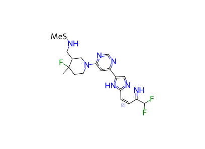 CSNCC1CN(c2cc(-c3cnc(/C=C\C(=N)C(F)F)[nH]3)ncn2)CCC1(C)F